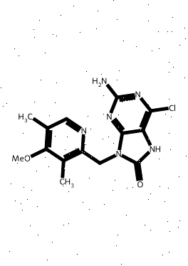 COc1c(C)cnc(Cn2c(=O)[nH]c3c(Cl)nc(N)nc32)c1C